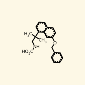 CC(C)(CNC(=O)O)c1cccc2ccc(OCc3ccccc3)cc12